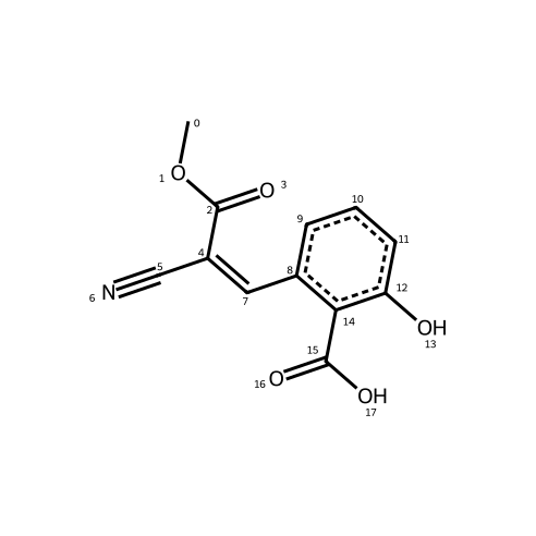 COC(=O)C(C#N)=Cc1cccc(O)c1C(=O)O